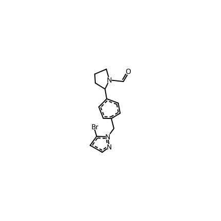 O=CN1CCCC1c1ccc(Cn2nccc2Br)cc1